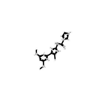 COc1cc(OC)nc(-c2sc(NC(=O)n3ccnc3)nc2C)n1